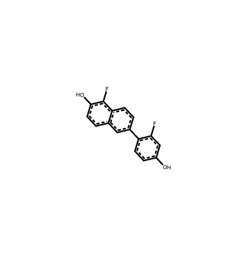 Oc1ccc(-c2ccc3c(F)c(O)ccc3c2)c(F)c1